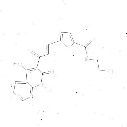 Cn1c(=O)c(C(=O)/C=C/c2ccc(C(=O)NCCO)s2)c(O)c2cccnc21